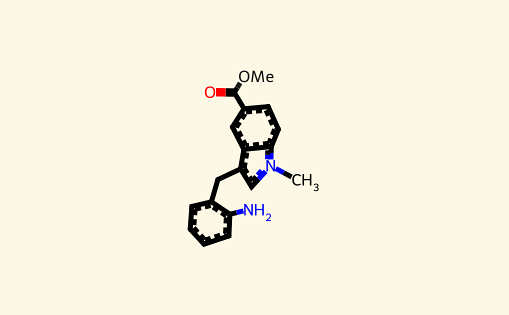 COC(=O)c1ccc2c(c1)c(Cc1ccccc1N)cn2C